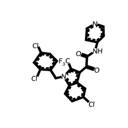 O=C(Nc1ccncc1)C(=O)c1c(C(F)(F)F)n(Cc2ccc(Cl)cc2Cl)c2ccc(Cl)cc12